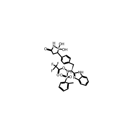 Cc1ccccc1S(=O)(=O)N(OC(=O)C(F)(F)F)[C@@H](Cc1ccc(C2CC(=O)NS2(O)O)cc1)c1nc2ccccc2[nH]1